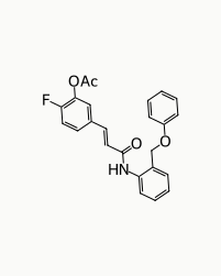 CC(=O)Oc1cc(/C=C/C(=O)Nc2ccccc2COc2ccccc2)ccc1F